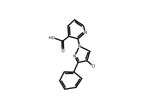 O=C(O)c1cccnc1-n1cc(Cl)c(-c2ccccc2)n1